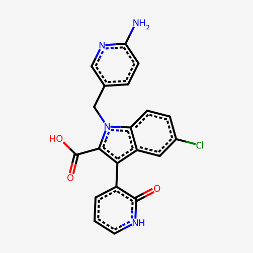 Nc1ccc(Cn2c(C(=O)O)c(-c3ccc[nH]c3=O)c3cc(Cl)ccc32)cn1